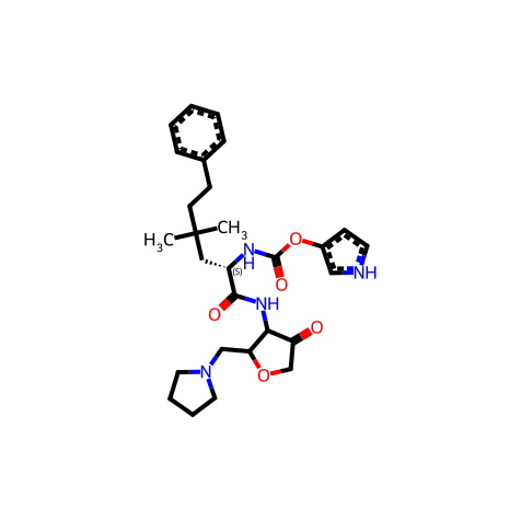 CC(C)(CCc1ccccc1)C[C@H](NC(=O)Oc1cc[nH]c1)C(=O)NC1C(=O)COC1CN1CCCC1